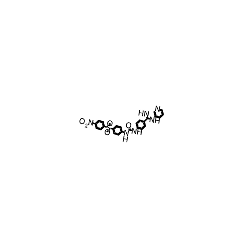 N=C(Nc1cccnc1)c1ccc(NC(=O)Nc2ccc(S(=O)(=O)c3ccc([N+](=O)[O-])cc3)cc2)cc1